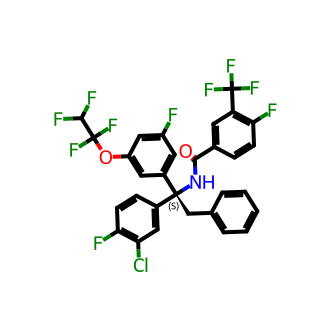 O=C(N[C@@](Cc1ccccc1)(c1cc(F)cc(OC(F)(F)C(F)F)c1)c1ccc(F)c(Cl)c1)c1ccc(F)c(C(F)(F)F)c1